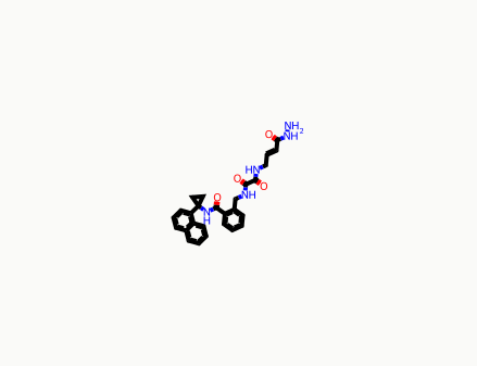 NNC(=O)/C=C/CNC(=O)C(=O)NCc1ccccc1C(=O)NC1(c2cccc3ccccc23)CC1